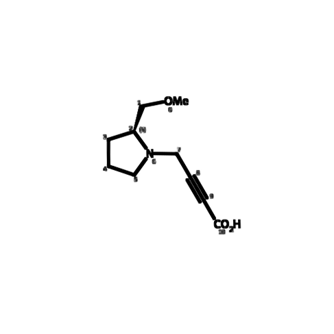 COC[C@@H]1CCCN1CC#CC(=O)O